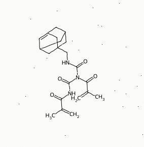 C=C(C)C(=O)NC(=O)N(C(=O)NCC12CC3=CC(CC(C3)C1)C2)C(=O)C(=C)C